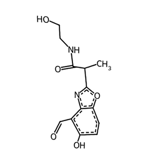 CC(C(=O)NCCO)c1nc2c(C=O)c(O)ccc2o1